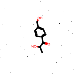 CC(O)C(=O)c1ccc(CO)cc1